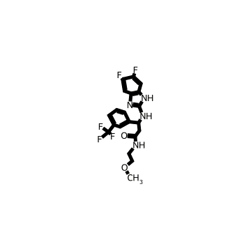 COCCNC(=O)CC(Nc1nc2cc(F)c(F)cc2[nH]1)c1cccc(C(F)(F)F)c1